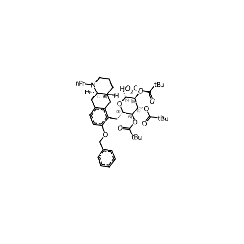 CCCN1CCC[C@@H]2Cc3c(ccc(OCc4ccccc4)c3C[C@@H]3O[C@H](C(=O)O)[C@@H](OC(=O)C(C)(C)C)[C@H](OC(=O)C(C)(C)C)[C@H]3OC(=O)C(C)(C)C)C[C@H]21